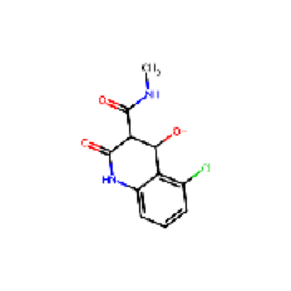 CNC(=O)C1C(=O)Nc2cccc(Cl)c2C1O